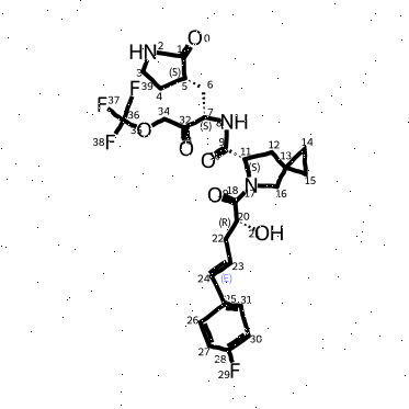 O=C1NCC[C@H]1C[C@H](NC(=O)[C@@H]1CC2(CC2)CN1C(=O)[C@H](O)C/C=C/c1ccc(F)cc1)C(=O)COC(F)(F)F